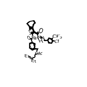 CCN(CC)CCN(Cc1cccc(C(=O)Nc2sc3c(c2C(=O)NN=Cc2ccc(Cl)c(C(F)(F)F)c2)CCCC3)c1)C(C)=O